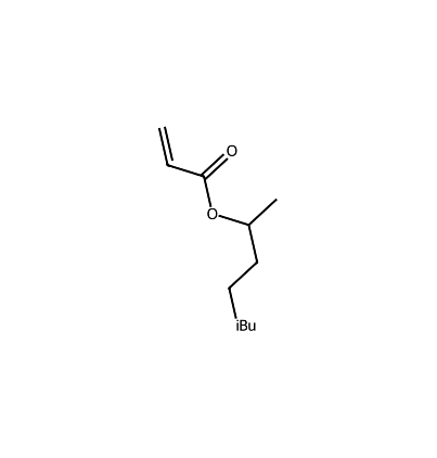 C=CC(=O)OC(C)CCC(C)CC